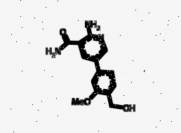 COc1cc(-c2cnc(N)c(C(N)=O)c2)ccc1CO